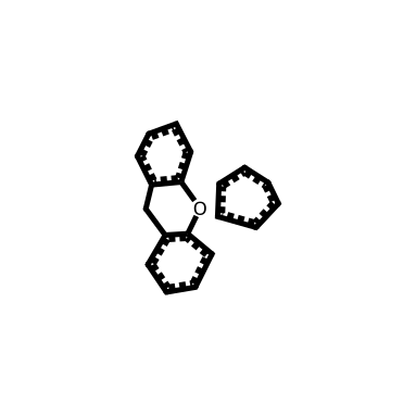 c1ccc2c(c1)Cc1ccccc1O2.c1ccccc1